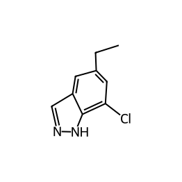 CCc1cc(Cl)c2[nH]ncc2c1